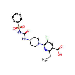 CCc1nc(N2CCC(NC(=O)NS(=O)(=O)c3ccccc3)CC2)c(Cl)cc1C(=O)O